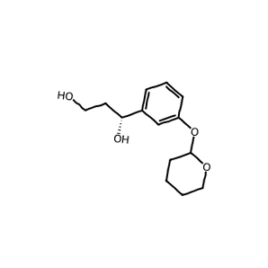 OCC[C@@H](O)c1cccc(OC2CCCCO2)c1